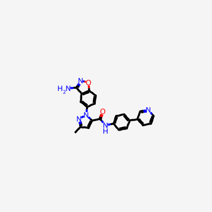 Cc1cc(C(=O)Nc2ccc(-c3cccnc3)cc2)n(-c2ccc3onc(N)c3c2)n1